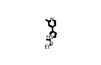 CCOC(C)[SH]1C=CC(c2ccnc(C)c2)=C1